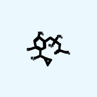 CN(c1cc(CC(C)(C)OC(N)=O)c([N+](=O)[O-])cc1Cl)C1CC1